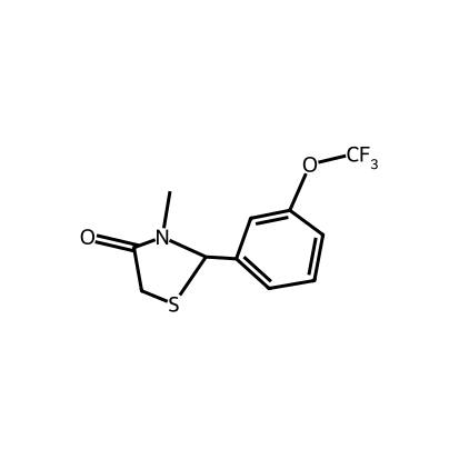 CN1C(=O)CSC1c1cccc(OC(F)(F)F)c1